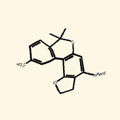 CCCCCc1cc2c(c3c1CCO3)-c1cc(C(=O)O)ccc1C(C)(C)O2